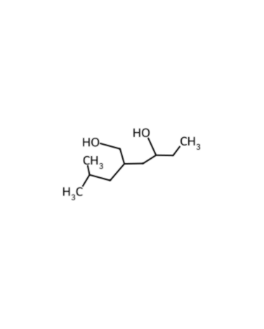 CCC(O)CC(CO)CC(C)C